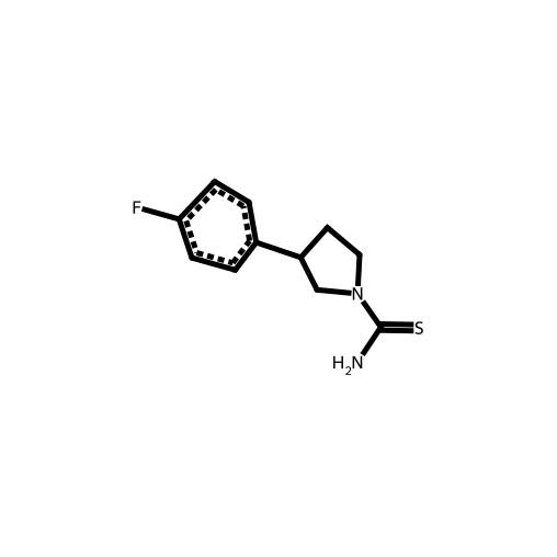 NC(=S)N1CCC(c2ccc(F)cc2)C1